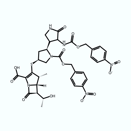 C[C@@H](O)[C@H]1C(=O)N2C(C(=O)O)=C(S[C@H]3C[C@@H](C4CNC(=O)C4NC(=O)OCc4ccc([N+](=O)[O-])cc4)N(C(=O)OCc4ccc([N+](=O)[O-])cc4)C3)[C@H](C)[C@H]12